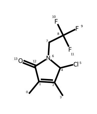 CC1=C(C)C(Cl)N(CC(F)(F)F)C1=O